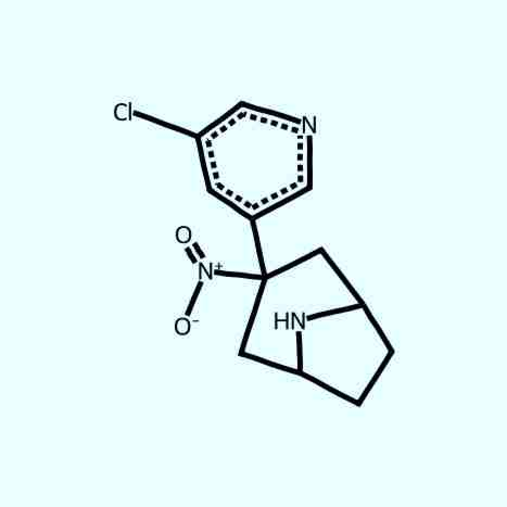 O=[N+]([O-])C1(c2cncc(Cl)c2)CC2CCC(C1)N2